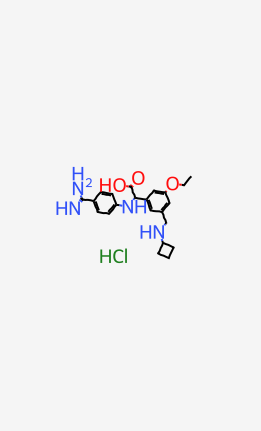 CCOc1cc(CNC2CCC2)cc(C(Nc2ccc(C(=N)N)cc2)C(=O)O)c1.Cl